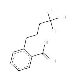 C=C(N)c1ccccc1CCCC(C)(C)C